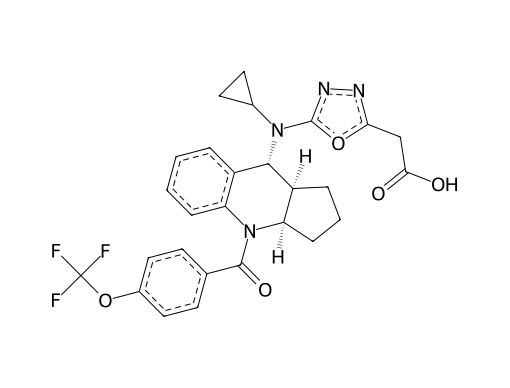 O=C(O)Cc1nnc(N(C2CC2)[C@H]2c3ccccc3N(C(=O)c3ccc(OC(F)(F)F)cc3)[C@@H]3CCC[C@@H]32)o1